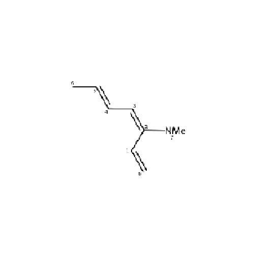 C=C/C(=C\C=C\C)NC